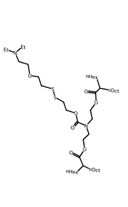 CCCCCCCCC(CCCCCC)C(=O)OCCN(CCOC(=O)C(CCCCCC)CCCCCCCC)C(=O)OCCSSCCOCCN(CC)CC